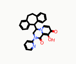 O=C1c2c(O)c(=O)ccn2C(C2c3ccccc3CCc3ccccc32)CN1c1ccccn1